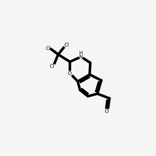 O=Cc1ccc2c(c1)CNC(C(Cl)(Cl)Cl)O2